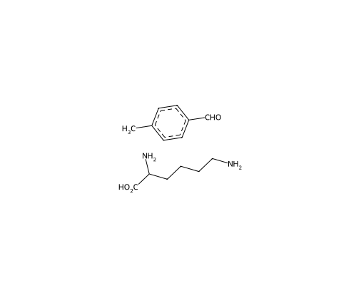 Cc1ccc(C=O)cc1.NCCCCC(N)C(=O)O